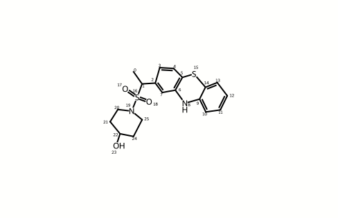 CC(c1ccc2c(c1)Nc1ccccc1S2)S(=O)(=O)N1CCC(O)CC1